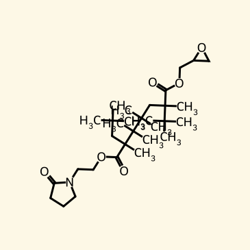 CC(C)(C)CC(C)(C(=O)OCCN1CCCC1=O)C(C)(C)C(C)(C)CC(C)(C(=O)OCC1CO1)C(C)(C)C